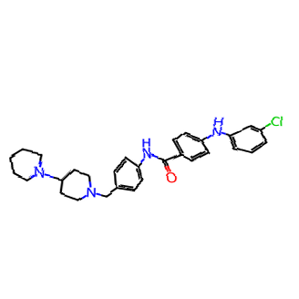 O=C(Nc1ccc(CN2CCC(N3CCCCC3)CC2)cc1)c1ccc(Nc2cccc(Cl)c2)cc1